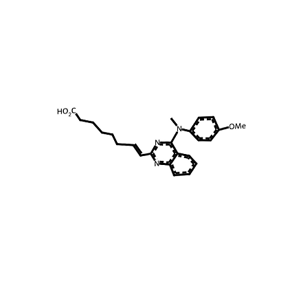 COc1ccc(N(C)c2nc(C=CCCCCCC(=O)O)nc3ccccc23)cc1